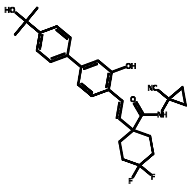 CC(C)(O)c1ccc(-c2ccc(/C=C/C3(C(=O)NC4(C#N)CC4)CCC(F)(F)CC3)c(O)c2)cc1